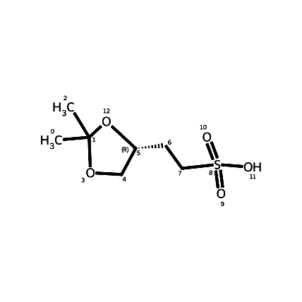 CC1(C)OC[C@@H](CCS(=O)(=O)O)O1